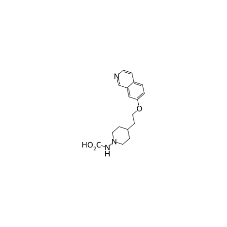 O=C(O)NN1CCC(CCOc2ccc3ccncc3c2)CC1